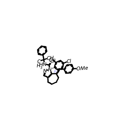 COc1ccc(/C=C2\CCCCC3=C2[N+](C(=O)NC(C)(C)c2ccccc2)(c2ccc(Cl)cc2Cl)N=C3)cc1